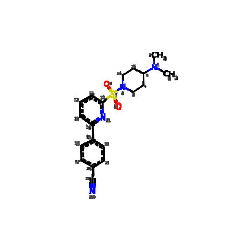 CN(C)C1CCN(S(=O)(=O)c2cccc(-c3ccc(C#N)cc3)n2)CC1